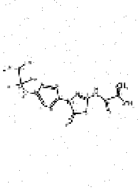 C=C(C)C(=O)NC1=NN(c2ccc(OC(F)(F)C(F)Cl)cc2)C(=O)C1